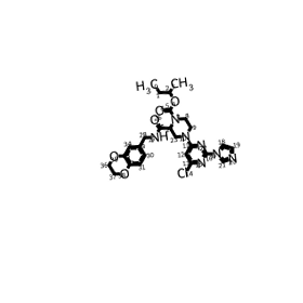 CCC(C)OC(=O)N1CCN(c2cc(Cl)nc(-n3ccnc3)n2)CC1C(=O)NCc1ccc2c(c1)OCCO2